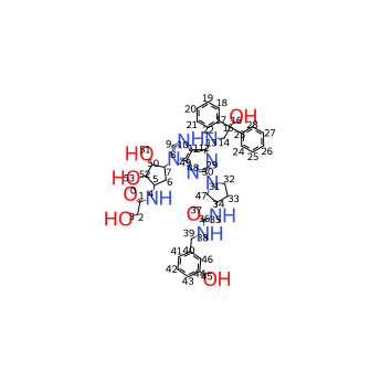 O=C(CO)NC1CC(n2cnc3c(NCC(O)(c4ccccc4)c4ccccc4)nc(N4CCC(NC(=O)NCc5cccc(O)c5)C4)nc32)C(O)C1O